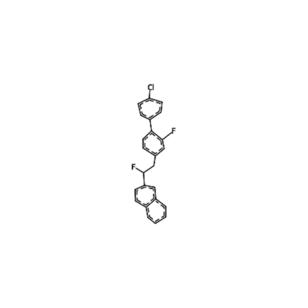 Fc1cc(CC(F)c2ccc3ccccc3c2)ccc1-c1ccc(Cl)cc1